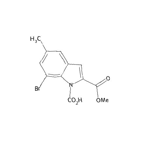 COC(=O)c1cc2cc(C)cc(Br)c2n1C(=O)O